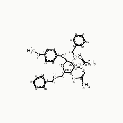 COc1ccc(OC2O[C@H](COCc3ccccc3)[C@@H](OC(C)=O)[C@H](OC(C)=O)[C@H]2OCc2ccccc2)cc1